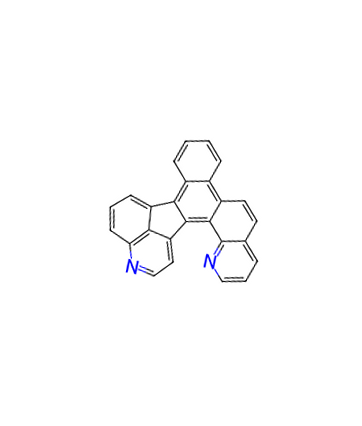 c1cnc2c(c1)ccc1c3ccccc3c3c(c12)-c1ccnc2cccc-3c12